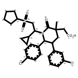 CC1(CC(=O)O)CC(c2cccc(Cl)c2)C(c2ccc(Cl)cc2)N(C(CS(=O)(=O)C2CCCC2)C2CC2)C1=O